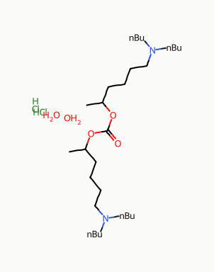 CCCCN(CCCC)CCCCC(C)OC(=O)OC(C)CCCCN(CCCC)CCCC.Cl.Cl.O.O